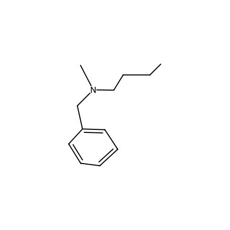 CCCCN(C)Cc1ccccc1